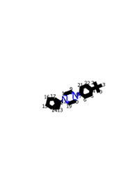 CC(C)(C)c1ccc(N2CCN([C@H]3CC4CCC3C4)CC2)cc1